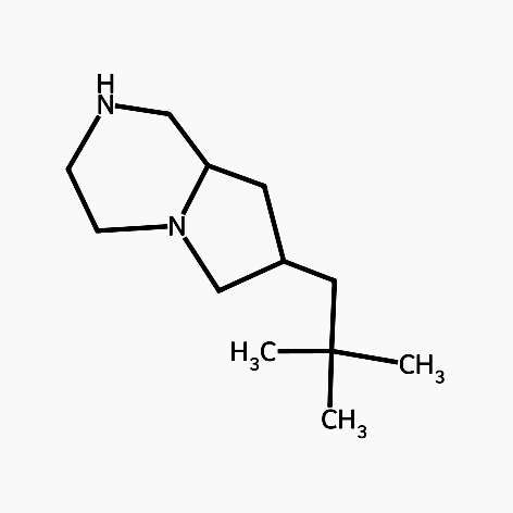 CC(C)(C)CC1CC2CNCCN2C1